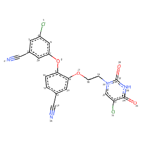 N#Cc1cc(Cl)cc(Oc2ccc(C#N)cc2OCCn2cc(Cl)c(=O)[nH]c2=O)c1